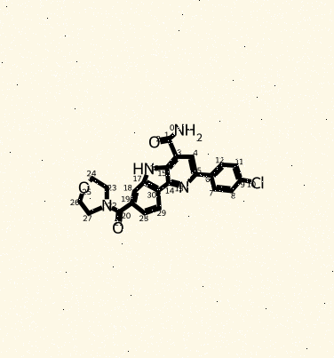 NC(=O)c1cc(-c2ccc(Cl)cc2)nc2c1[nH]c1cc(C(=O)N3CCOCC3)ccc12